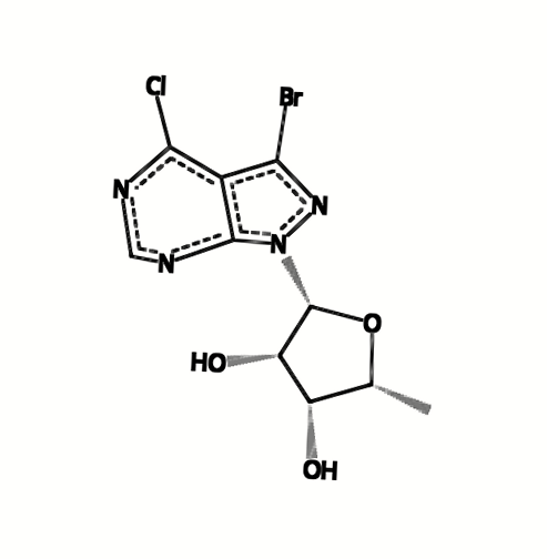 C[C@H]1O[C@@H](n2nc(Br)c3c(Cl)ncnc32)[C@@H](O)[C@H]1O